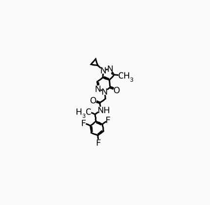 Cc1nn(C2CC2)c2cnn(CC(=O)NC(C)c3c(F)cc(F)cc3F)c(=O)c12